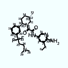 CCc1cc(NC(=O)C(=O)N2C[C@@H](C)CC[C@@H]2c2cccc(C(F)(F)CCN(C)C)c2)cnc1N